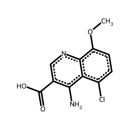 COc1ccc(Cl)c2c(N)c(C(=O)O)cnc12